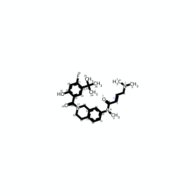 CN(C)C/C=C/C(=O)N(C)c1ccc2c(c1)CN(C(=O)c1cc(C(C)(C)C)c(F)cc1O)CC2